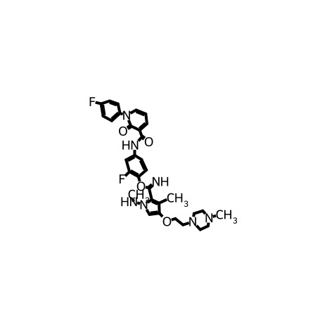 CNn1cc(OCCN2CCN(C)CC2)c(C)c1C(=N)Oc1ccc(NC(=O)c2cccn(-c3ccc(F)cc3)c2=O)cc1F